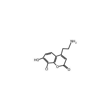 NCCc1cc(=O)oc2c(Cl)c(O)ccc12